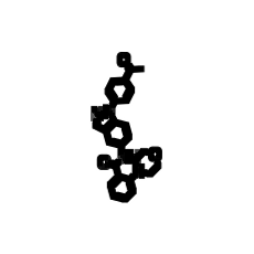 CC(=O)c1ccc(-n2ncc3cc(NC(=O)c4ccccc4N4CCOCC4)ccc32)cc1